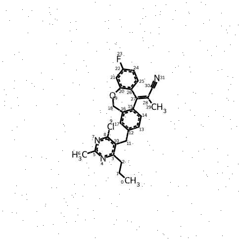 CCCc1nc(C)nc(Cl)c1Cc1ccc2c(c1)COc1cc(F)ccc1/C2=C(/C)C#N